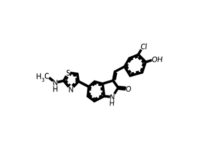 CNc1nc(-c2ccc3c(c2)C(=Cc2ccc(O)c(Cl)c2)C(=O)N3)cs1